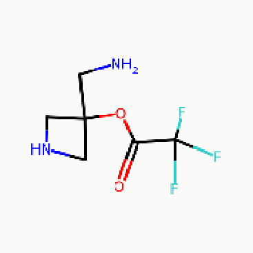 NCC1(OC(=O)C(F)(F)F)CNC1